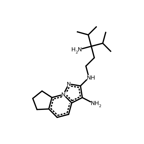 CC(C)C(N)(CCNc1nn2c3c(ccc2c1N)CCC3)C(C)C